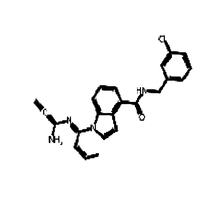 C=C=C(N)/N=C(\C=C/C)n1ccc2c(C(=O)NCc3cccc(Cl)c3)cccc21